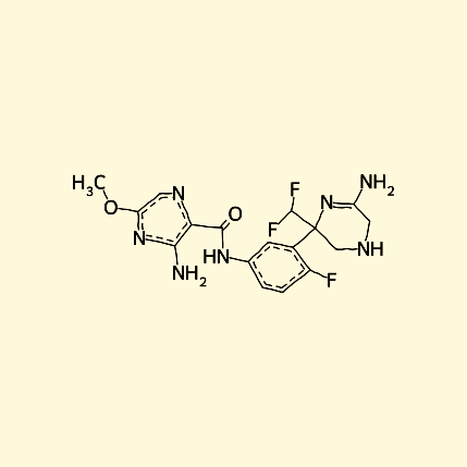 COc1cnc(C(=O)Nc2ccc(F)c(C3(C(F)F)CNCC(N)=N3)c2)c(N)n1